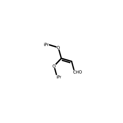 CC(C)OC(=CC=O)OC(C)C